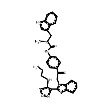 NCCNc1nonc1-c1nc2ccccc2n1CC(=O)c1ccc(NC(=O)[C@@H](N)Cc2c[nH]c3ccccc23)cc1